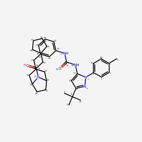 Cc1ccc(-n2nc(C(C)(C)C)cc2NC(=O)Nc2cccc(CC3CC4CCC(C3)N4C(=O)CC3CCCC3)c2)cc1